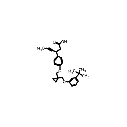 CC#CC(CC(=O)O)c1ccc(OCC2(COc3cccc(C(C)(C)C)c3)CC2)cc1